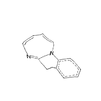 C1=CN=C2Cc3ccccc3N2C=C1